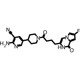 N#Cc1cc(C2CCN(C(=O)CCCc3cn4cc(F)cc4c(=O)[nH]3)CC2)cnc1N